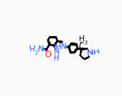 C[C@]1(c2ccc(N/C=C3/C=CC=C(C(N)=O)C3=N)cc2)CCCNC1